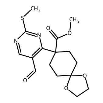 COC(=O)C1(c2nc(SC)ncc2C=O)CCC2(CC1)OCCO2